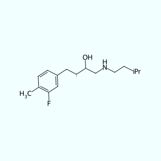 Cc1ccc(C[CH]C(O)CNCCC(C)C)cc1F